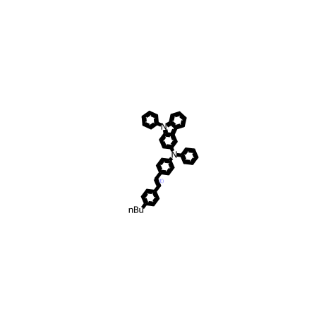 CCCCc1ccc(/C=C/c2ccc(N(c3ccccc3)c3ccc4c(c3)c3ccccc3n4-c3ccccc3)cc2)cc1